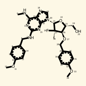 CNc1nc(NCc2ccc(OC)cc2)nc2c1ncn2[C@@H]1O[C@H](CO)[C@@H](OCc2ccc(OC)cc2)[C@@]1(C)F